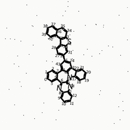 c1ccc2c(c1)-c1nc3ccccc3nc1-n1c3ccccc3c3cc(-c4ccc5c(c4)sc4ccc6ccccc6c45)cc-2c31